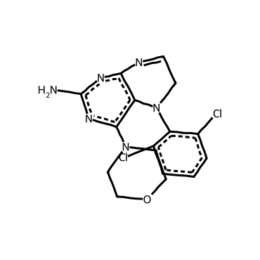 Nc1nc2c(c(N3CCOCC3)n1)N(c1c(Cl)cccc1Cl)CC=N2